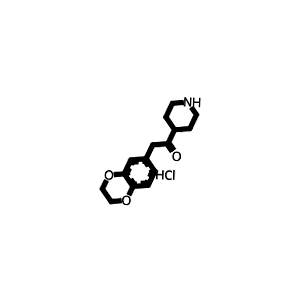 Cl.O=C(Cc1ccc2c(c1)OCCO2)C1CCNCC1